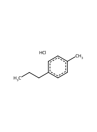 CCCc1ccc(C)cc1.Cl